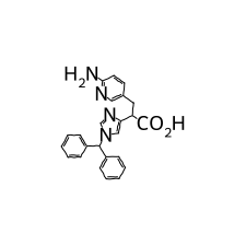 Nc1ccc(CC(C(=O)O)c2cn(C(c3ccccc3)c3ccccc3)cn2)cn1